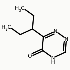 CCC(CC)c1nnc[nH]c1=O